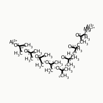 CC(C)[O-].CC(C)[O-].CC(C)[O-].CC(C)[O-].CC(C)[O-].CC(C)[O-].CC(C)[O-].CC(C)[O-].[Al+3].[Al+3].[Mg+2]